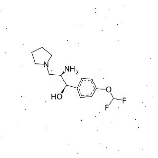 N[C@H](CN1CCCC1)[C@H](O)c1ccc(OC(F)F)cc1